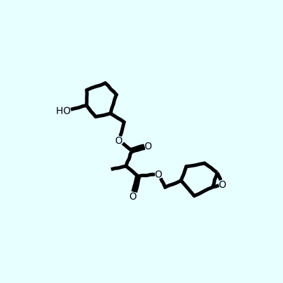 CC(C(=O)OCC1CCCC(O)C1)C(=O)OCC1CCC2OC2C1